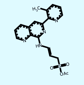 CC(=O)OS(=O)(=O)CC=CNc1nc(-c2ncccc2C)cc2cccnc12